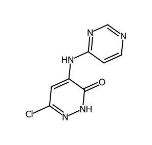 O=c1[nH]nc(Cl)cc1Nc1ccncn1